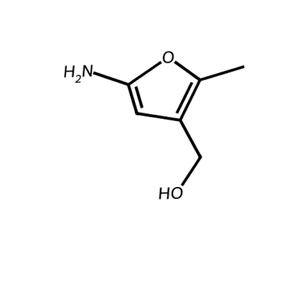 Cc1oc(N)cc1CO